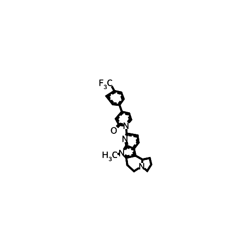 Cn1c2c(c3ccc(-n4ccc(-c5ccc(C(F)(F)F)cc5)cc4=O)nc31)C1CCCN1CC2